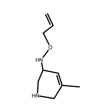 C=CCONC1C=C(C)CNC1